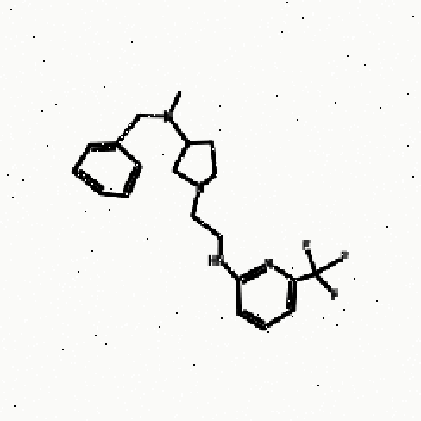 CN(Cc1ccccc1)C1CCN(CCNc2cccc(C(F)(F)F)n2)C1